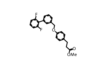 COC(=O)CCc1ccc(OCc2cccc(-c3c(F)cccc3F)c2)cc1